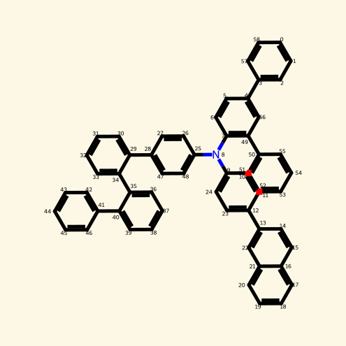 c1ccc(-c2ccc(N(c3ccc(-c4ccc5ccccc5c4)cc3)c3ccc(-c4ccccc4-c4ccccc4-c4ccccc4)cc3)c(-c3ccccc3)c2)cc1